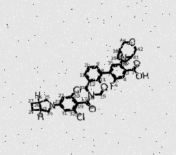 O=C(O)c1cc(F)c(-c2cccc3c2OCN(C(=O)c2c(Cl)cc(N4C[C@H]5CC[C@H]5C4)cc2Cl)C3)cc1N1C2CCC1COC2